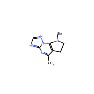 Cc1nc2ncnn2c2c1CCN2C(C)(C)C